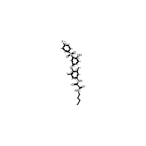 CCCCNC(=O)C(=O)Nc1cc(C)c(Oc2ccc(O)c(S(=O)(=O)c3ccc(F)cc3)c2)c(C)c1